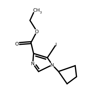 CCOC(=O)c1ncn(C2CCC2)c1I